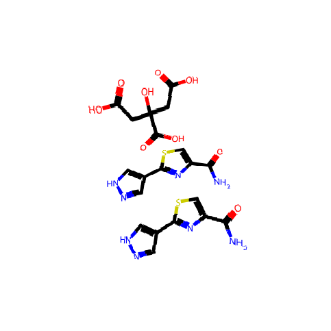 NC(=O)c1csc(-c2cn[nH]c2)n1.NC(=O)c1csc(-c2cn[nH]c2)n1.O=C(O)CC(O)(CC(=O)O)C(=O)O